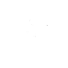 O=C1C[C@](C(=O)NCc2ccccc2)(c2cnn(Cc3ccccc3)n2)N1CCc1ccc(F)cc1